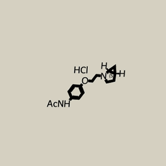 CC(=O)Nc1ccc(OCCN2CC[C@H]3C[C@H]32)cc1.Cl